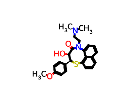 COc1ccc([C@@H]2Sc3cccc4cccc(c34)N(CCN(C)C)C(=O)[C@@H]2O)cc1